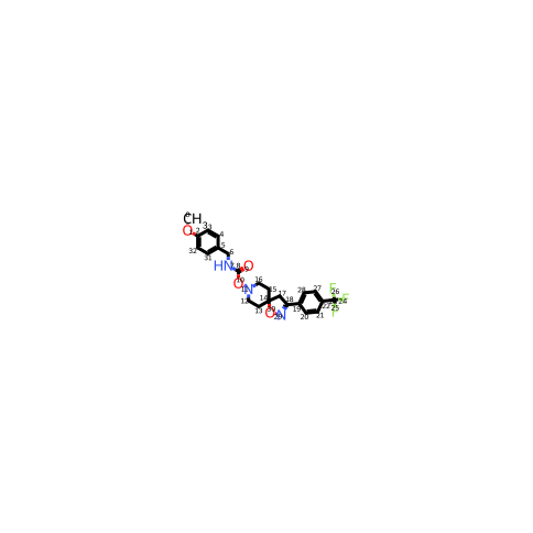 COc1ccc(CNC(=O)ON2CCC3(CC2)CC(c2ccc(C(F)(F)F)cc2)=NO3)cc1